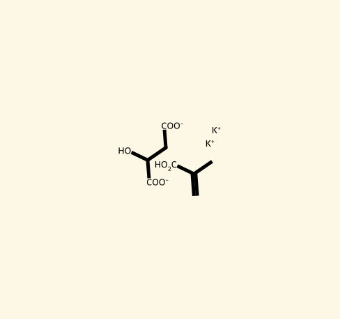 C=C(C)C(=O)O.O=C([O-])CC(O)C(=O)[O-].[K+].[K+]